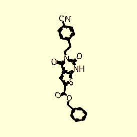 N#Cc1ccc(CCn2c(=O)[nH]c3sc(C(=O)OCc4ccccc4)cc3c2=O)cc1